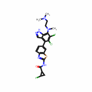 CN(C)CCN(C)c1c(F)c(Cl)c(-c2ccc3nc(NC(=O)C4CC4F)sc3c2)c2cn[nH]c12